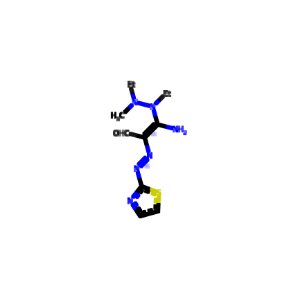 CCN(C)N(CC)/C(N)=C(C=O)/N=N/c1nccs1